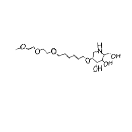 COCCOCCOCCCCCCO[C@H]1CNC(CO)[C@@H](O)[C@@H]1O